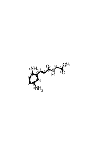 Nc1ccc(N)c(C=CC(=O)NCC(=O)O)c1